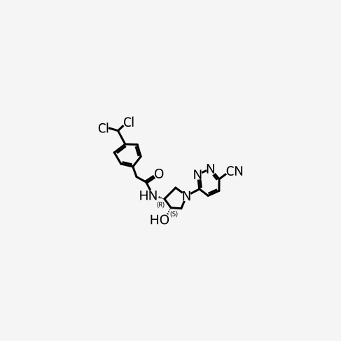 N#Cc1ccc(N2C[C@H](O)[C@H](NC(=O)Cc3ccc(C(Cl)Cl)cc3)C2)nn1